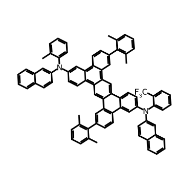 Cc1ccccc1N(c1ccc2ccccc2c1)c1ccc2c(c1)c1ccc(-c3c(C)cccc3C)cc1c1cc3c4ccc(N(c5ccc6ccccc6c5)c5ccccc5C(F)(F)F)cc4c4ccc(-c5c(C)cccc5C)cc4c3cc21